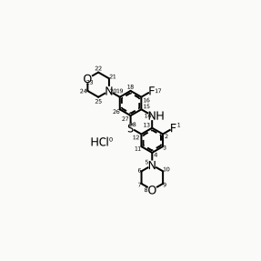 Cl.Fc1cc(N2CCOCC2)cc2c1Nc1c(F)cc(N3CCOCC3)cc1S2